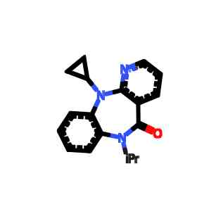 CC(C)N1C(=O)c2cccnc2N(C2CC2)c2ccccc21